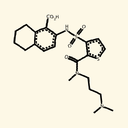 CN(C)CCCN(C)C(=O)c1sccc1S(=O)(=O)Nc1ccc2c(c1C(=O)O)CCCC2